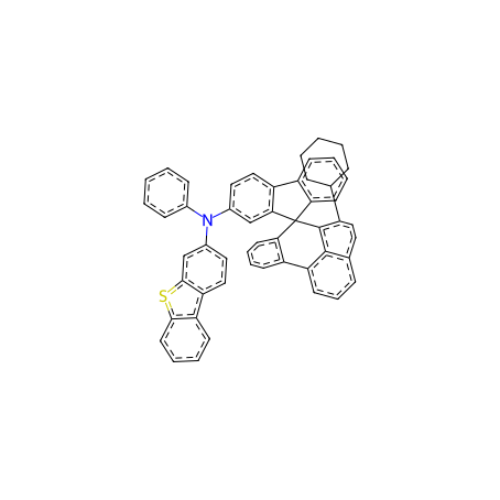 c1ccc(N(c2ccc3c(c2)C2(c4ccccc4-3)c3ccccc3-c3cccc4ccc(C5CCCCC5)c2c34)c2ccc3c(c2)sc2ccccc23)cc1